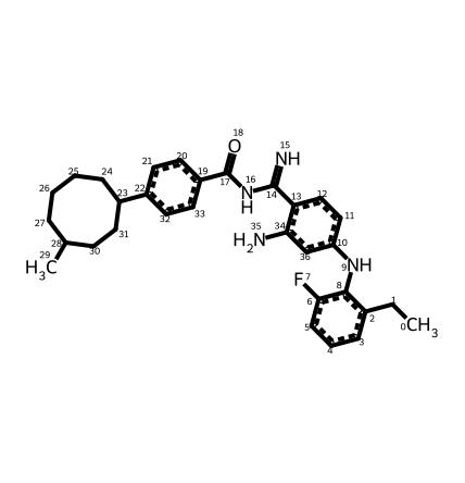 CCc1cccc(F)c1Nc1ccc(C(=N)NC(=O)c2ccc(C3CCCCC(C)CC3)cc2)c(N)c1